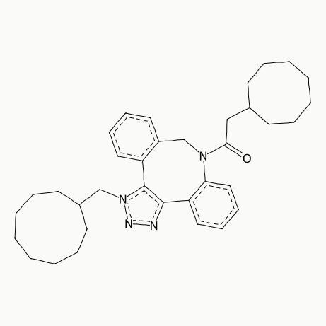 O=C(CC1CCCCCCC1)N1Cc2ccccc2-c2c(nnn2CC2CCCCCCCC2)-c2ccccc21